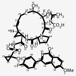 COc1ccc2c(O[C@@H]3C[C@H]4C(=O)N[C@]5(C(=O)NS(=O)(=O)C6(C)CC6)C[C@H]5C=CCC[C@@H](C)C[C@@H](C)[C@H](N(C(=O)O)[C@H](C)C(F)(F)F)C(=O)N4C3)nc(-c3ccc(F)cc3)cc2c1